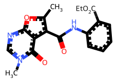 CCOC(=O)c1ccccc1NC(=O)c1c(C)oc2ncn(C)c(=O)c12